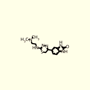 CN(C)CCNC1=NN=C(c2ccc3[nH]c(=O)[nH]c3c2)CS1